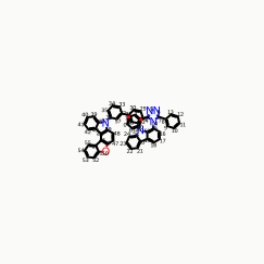 c1ccc(-c2nnc(-c3ccccc3)n2-c2cccc3c4ccccc4n(-c4cccc(-c5cccc(-n6c7ccccc7c7c8c(ccc76)oc6ccccc68)c5)c4)c23)cc1